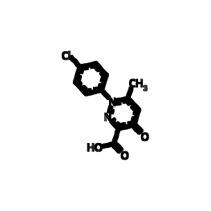 Cc1cc(=O)c(C(=O)O)nn1-c1ccc(Cl)cc1